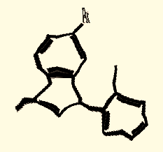 CC1=CC(c2ccccc2C)c2cc(Br)ccc21